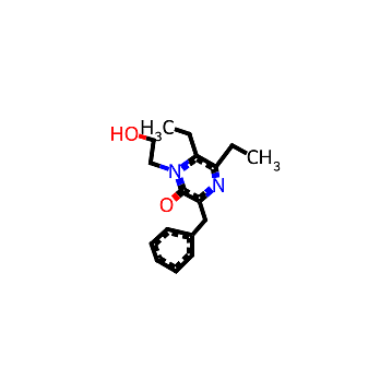 CCc1nc(Cc2ccccc2)c(=O)n(CCO)c1CC